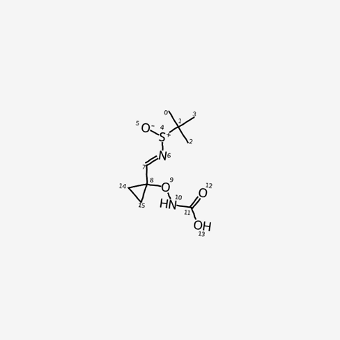 CC(C)(C)[S+]([O-])/N=C/C1(ONC(=O)O)CC1